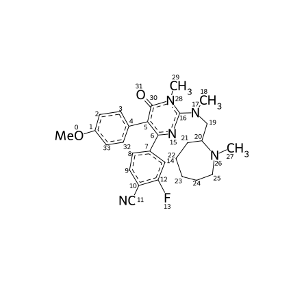 COc1ccc(-c2c(-c3ccc(C#N)c(F)c3)nc(N(C)CC3CCCCCN3C)n(C)c2=O)cc1